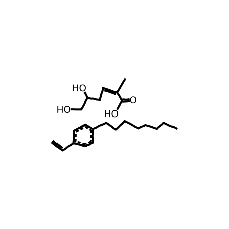 C=Cc1ccc(CCCCCCCC)cc1.CC(=CCC(O)CO)C(=O)O